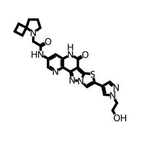 O=C(CN1CCCC12CCC2)Nc1cnc2c(c1)[nH]c(=O)c1c2nn2cc(-c3cnn(CCO)c3)sc12